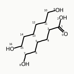 O=C(O)CCCCCO.OCCCCCCO